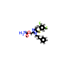 CC(C)c1nc(COC(N)=O)n(CCCc2ccccc2)c1Sc1cc(F)cc(F)c1